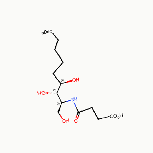 CCCCCCCCCCCCCC[C@@H](O)[C@@H](O)[C@H](CO)NC(=O)CCC(=O)O